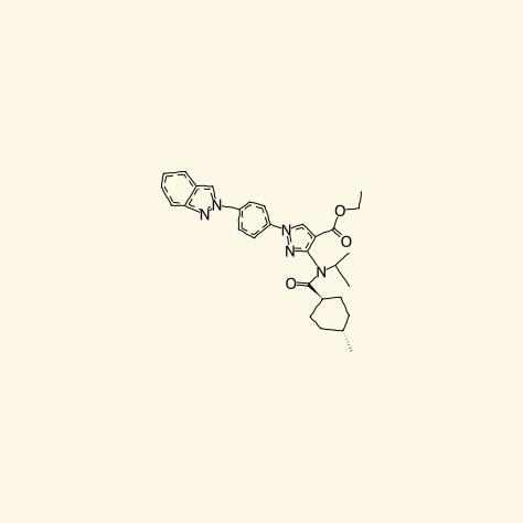 CCOC(=O)c1cn(-c2ccc(-n3cc4ccccc4n3)cc2)nc1N(C(=O)[C@H]1CC[C@H](C)CC1)C(C)C